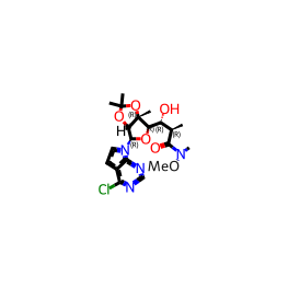 CON(C)C(=O)[C@H](C)[C@@H](O)[C@H]1O[C@@H](n2ccc3c(Cl)ncnc32)[C@@H]2OC(C)(C)O[C@]12C